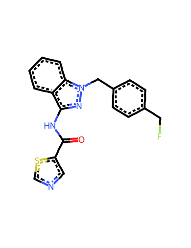 O=C(Nc1nn(Cc2ccc(CF)cc2)c2ccccc12)c1cncs1